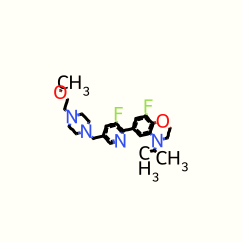 COCCN1CCN(Cc2cnc(-c3cc(F)c4c(c3)N(C(C)C)CCO4)c(F)c2)CC1